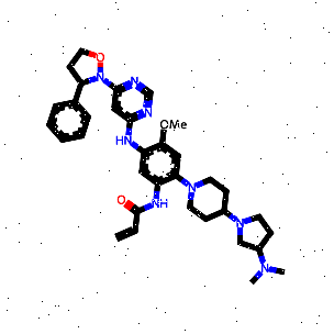 C=CC(=O)Nc1cc(Nc2cc(N3OCCC3c3ccccc3)ncn2)c(OC)cc1N1CCC(N2CCC(N(C)C)C2)CC1